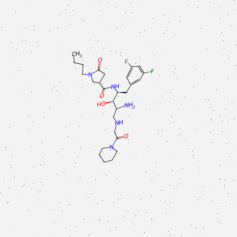 CCCCN1CC(C(=O)N[C@@H](Cc2cc(F)cc(F)c2)[C@H](O)C(N)CNCC(=O)N2CCCCC2)CC1=O